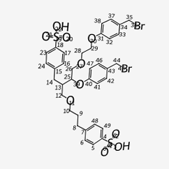 O=S(=O)(O)c1ccc(CCCOCC(Cc2ccc(S(=O)(=O)O)cc2)C(COCCOc2ccc(CBr)cc2)Oc2ccc(CBr)cc2)cc1